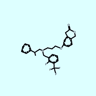 CC(CN(CCCOc1ccc2c(c1)CC(=O)OC2)Cc1cccc(C(F)(F)F)c1F)c1ccccc1